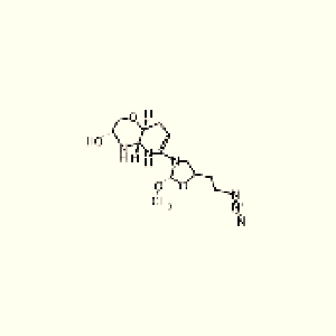 CO[C@H]1OC(CCN=[N+]=[N-])CN1C1=CC[C@H]2OC[C@@H](O)N[C@H]2N1